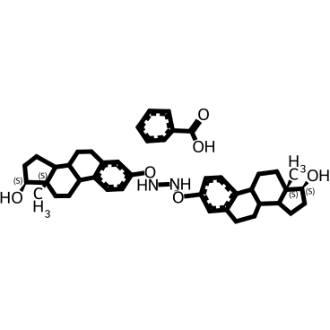 C[C@]12CCC3c4ccc(ONNOc5ccc6c(c5)CCC5C6CC[C@@]6(C)C5CC[C@@H]6O)cc4CCC3C1CC[C@@H]2O.O=C(O)c1ccccc1